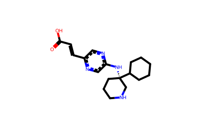 O=C(O)C=Cc1cnc(N[C@@]2(C3CCCCC3)CCCNC2)cn1